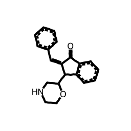 O=C1C(=Cc2ccccc2)C(C2CNCCO2)c2ccccc21